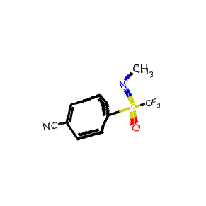 CN=S(=O)(c1ccc(C#N)cc1)C(F)(F)F